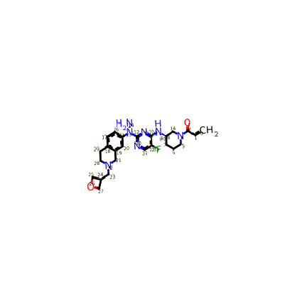 C=CC(=O)N1CCC[C@@H](Nc2nc(N(N)c3ccc4c(c3)CN(CC3COC3)CC4)ncc2F)C1